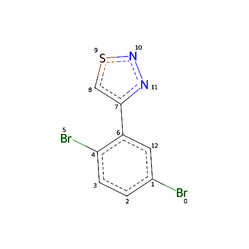 Brc1ccc(Br)c(-c2csnn2)c1